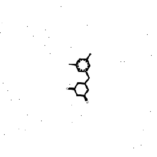 Cc1cc(C)cc(CC2CC(=O)CC(=O)C2)c1